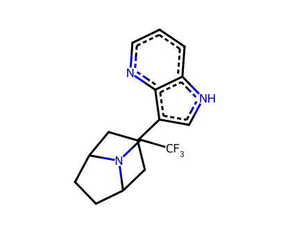 FC(F)(F)CN1C2CCC1CC(c1c[nH]c3cccnc13)C2